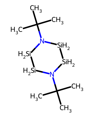 CC(C)(C)N1[SiH2][SiH2]N(C(C)(C)C)[SiH2][SiH2]1